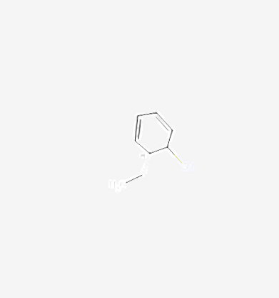 CC[C@@H]1C=CC=CC1S